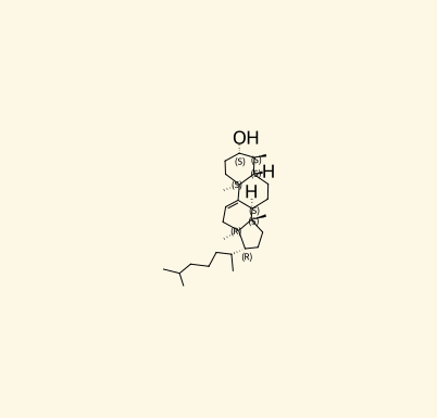 CC(C)CCCC(C)[C@H]1CC[C@@]2(C)[C@@H]3CC[C@H]4[C@H](C)[C@@H](O)CC[C@]4(C)C3=CC[C@]12C